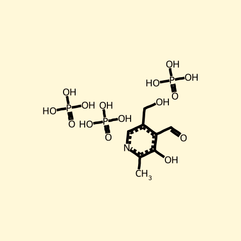 Cc1ncc(CO)c(C=O)c1O.O=P(O)(O)O.O=P(O)(O)O.O=P(O)(O)O